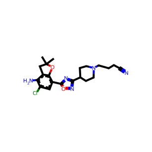 CC1(C)Cc2c(N)c(Cl)cc(-c3nc(C4CCN(CCCC#N)CC4)no3)c2O1